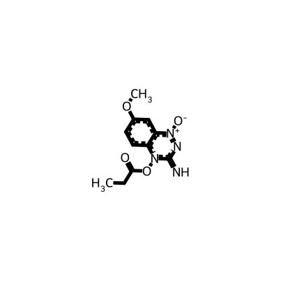 CCC(=O)On1c(=N)n[n+]([O-])c2cc(OC)ccc21